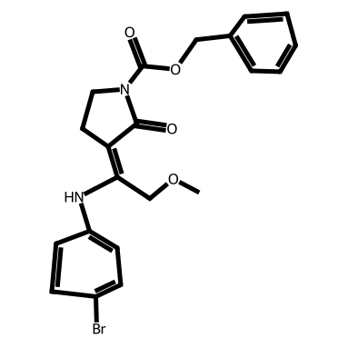 COC/C(Nc1ccc(Br)cc1)=C1/CCN(C(=O)OCc2ccccc2)C1=O